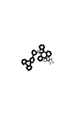 CC1(C)c2ccccc2-c2c(n(-c3cccc(-c4ccc5c6ccccc6c6ccccc6c5c4)c3)c3ccccc23)-c2ccccc21